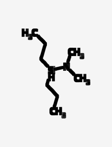 CCC[SiH](CCC)N(C)C